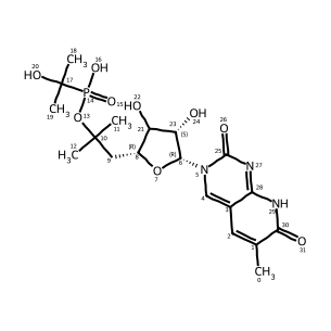 Cc1cc2cn([C@@H]3O[C@H](CC(C)(C)OP(=O)(O)C(C)(C)O)C(O)[C@@H]3O)c(=O)nc2[nH]c1=O